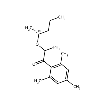 [CH2][C@H](CCC)OC(P)C(=O)c1c(C)cc(C)cc1C